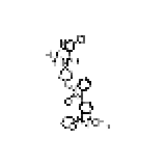 Cc1ncc(Cl)cc1C(=O)NC1CCC(Cn2c(=O)n(-c3ccc4c(C)nn(C5CCCCO5)c4c3)c3ccccc32)CC1